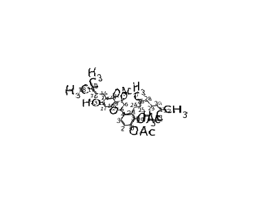 CC(=O)Oc1ccc([C@@H]2CC(=O)c3c(cc(O)c(CC=C(C)C)c3OC(C)=O)O2)c(C/C=C(\C)CCC=C(C)C)c1OC(C)=O